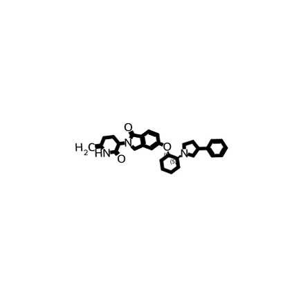 C=C1CCC(N2Cc3cc(O[C@H]4CCCC[C@@H]4N4CCC(c5ccccc5)C4)ccc3C2=O)C(=O)N1